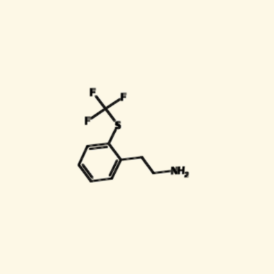 NCCc1ccccc1SC(F)(F)F